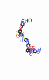 O=CN1CCC(COc2cc(F)c3c(=O)[nH]c(CSC4CCN(CC5CCN(c6cccc7c6C(=O)N(C6CCC(=O)NC6=O)C7=O)CC5)CC4)nc3c2)CC1